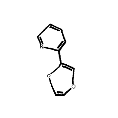 C1=COC(c2ccccn2)=CO1